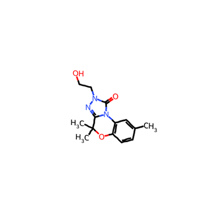 Cc1ccc2c(c1)-n1c(nn(CCO)c1=O)C(C)(C)O2